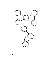 c1ccc(-c2ccccc2-c2ccc3c(c2)c2ccccc2c2nnc(-c4ccc(-c5cccc6c5oc5ccccc56)cc4)n32)cc1